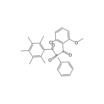 COc1cccc(Cl)c1C(=O)P(=O)(C(=O)c1c(C)c(C)c(C)c(C)c1C)c1ccccc1